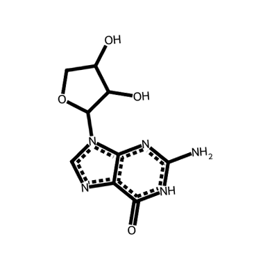 Nc1nc2c(ncn2C2OCC(O)C2O)c(=O)[nH]1